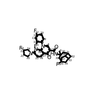 CC1(NC(=O)c2cn(-c3ccc(F)cc3F)c3nc(N4CC[C@H](F)C4)ccc3c2=O)CC2CC3CC(F)(CC32)C1